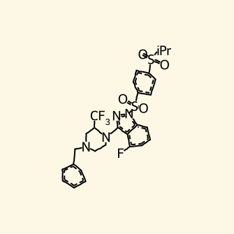 CC(C)S(=O)(=O)c1ccc(S(=O)(=O)n2nc(N3CCN(Cc4ccccc4)CC3C(F)(F)F)c3c(F)cccc32)cc1